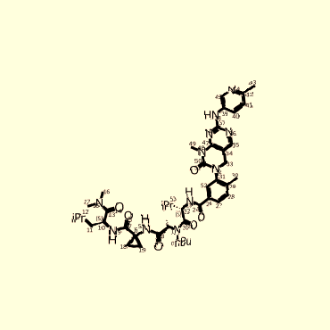 CCCCN(CC(=O)NC1(C(=O)N[C@@H](CC(C)C)C(=O)N(C)C)CC1)C(=O)[C@@H](NC(=O)c1ccc(C)c(N2Cc3cnc(Nc4ccc(C)nc4)nc3N(C)C2=O)c1)C(C)C